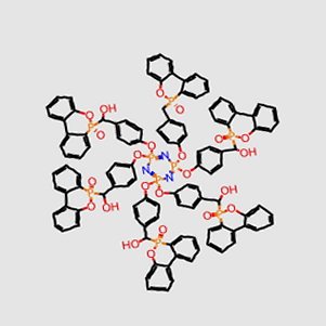 O=P1(Cc2ccc(OP3(Oc4ccc(C(O)P5(=O)Oc6ccccc6-c6ccccc65)cc4)=NP(Oc4ccc(C(O)P5(=O)Oc6ccccc6-c6ccccc65)cc4)(Oc4ccc(C(O)P5(=O)Oc6ccccc6-c6ccccc65)cc4)=NP(Oc4ccc(C(O)P5(=O)Oc6ccccc6-c6ccccc65)cc4)(Oc4ccc(C(O)P5(=O)Oc6ccccc6-c6ccccc65)cc4)=N3)cc2)Oc2ccccc2-c2ccccc21